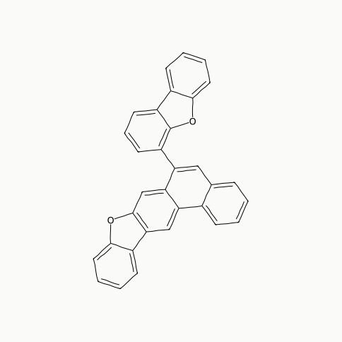 c1ccc2c(c1)cc(-c1cccc3c1oc1ccccc13)c1cc3oc4ccccc4c3cc12